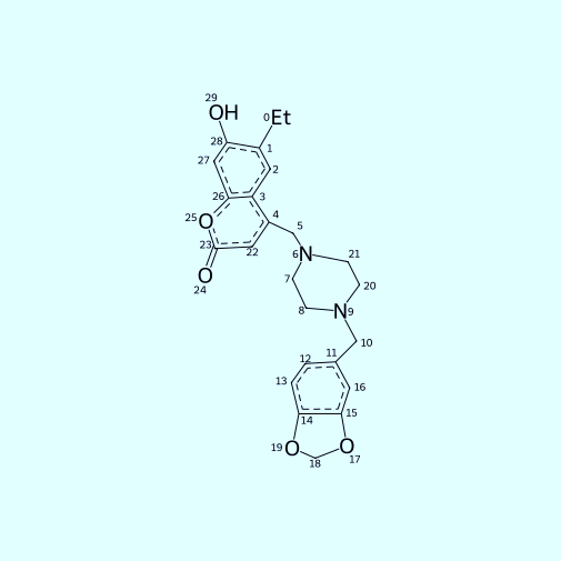 CCc1cc2c(CN3CCN(Cc4ccc5c(c4)OCO5)CC3)cc(=O)oc2cc1O